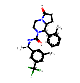 Cc1cc([C@@H](C)NC(=O)N2CCN3C(=O)CCC3C2c2ccccc2C)cc(C(F)(F)F)c1